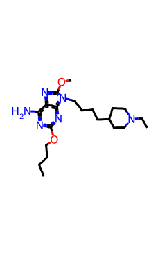 CCCCOc1nc(N)c2nc(OC)n(CCCCC3CCN(CC)CC3)c2n1